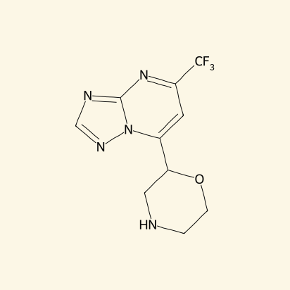 FC(F)(F)c1cc(C2CNCCO2)n2ncnc2n1